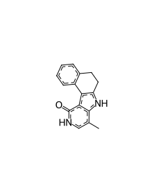 Cc1c[nH]c(=O)c2c3c([nH]c12)CCc1ccccc1-3